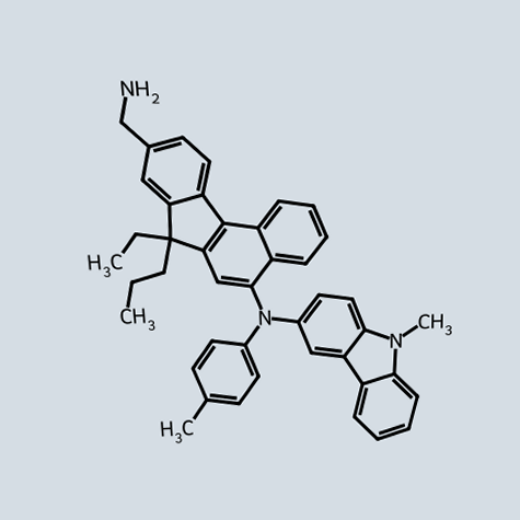 CCCC1(CC)c2cc(CN)ccc2-c2c1cc(N(c1ccc(C)cc1)c1ccc3c(c1)c1ccccc1n3C)c1ccccc21